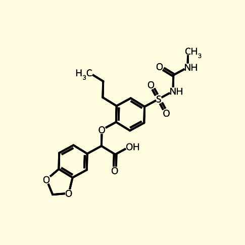 CCCc1cc(S(=O)(=O)NC(=O)NC)ccc1OC(C(=O)O)c1ccc2c(c1)OCO2